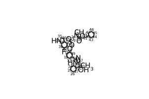 CN(CCS(=O)(=O)c1c(Oc2cccc(-c3ncc(C(C)(O)c4ccccc4)[nH]3)c2)c(F)cc2[nH]ccc12)C(=O)OCc1ccccc1